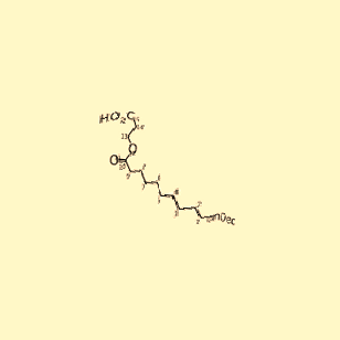 CCCCCCCCCCCCCCCCCCCC(=O)OCCC(=O)O